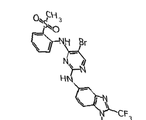 Cn1c(C(F)(F)F)nc2cc(Nc3ncc(Br)c(Nc4ccccc4S(C)(=O)=O)n3)ccc21